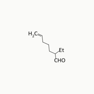 C=CCCCC(C=O)CC